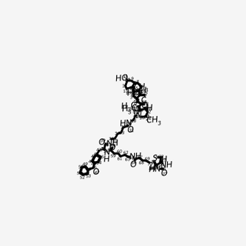 CC1=C2C[C@H]3[C@@H](CC=C4C[C@@H](O)CC[C@@]43C)[C@@H]2CCC12O[C@@H]1C[C@H](C)CN(CCNC(=O)CCCCCNC(=O)[C@H](Cc3ccc(C(=O)c4ccccc4)cc3)NC(=O)CCCCCNC(=O)CCCC[C@@H]3SC[C@@H]4NC(=O)N[C@@H]43)[C@H]1[C@H]2C